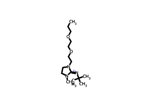 CCCOCCOCCN1CCN(C)/C1=N\C(C)(C)C